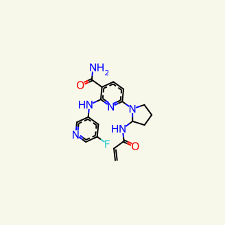 C=CC(=O)NC1CCCN1c1ccc(C(N)=O)c(Nc2cncc(F)c2)n1